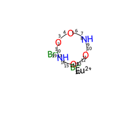 C1COCCOCCNCCOCCOCCN1.[Br-].[Br-].[Eu+2]